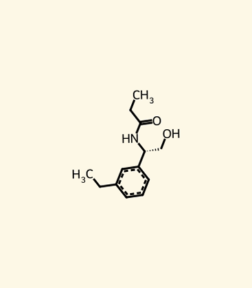 CCC(=O)N[C@H](CO)c1cccc(CC)c1